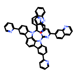 c1ccc(-c2ccc3c(c2)c2ccc4c5cc(-c6ccccn6)ccc5n(-c5cccc6ncccc56)c4c2n3-c2nc(-c3ccc4cccnc4c3)cc(-c3ccc4ccccc4n3)n2)nc1